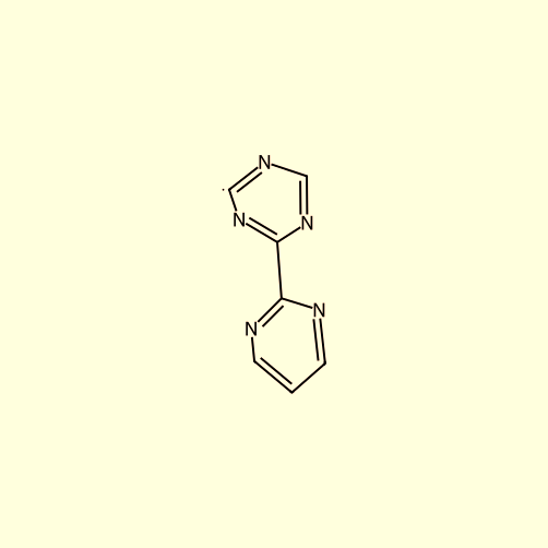 [c]1ncnc(-c2ncccn2)n1